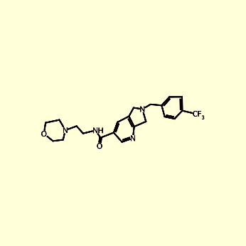 O=C(NCCN1CCOCC1)c1cnc2c(c1)CN(Cc1ccc(C(F)(F)F)cc1)C2